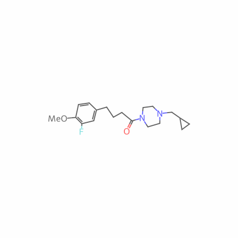 COc1ccc(CCCC(=O)N2CCN(CC3CC3)CC2)cc1F